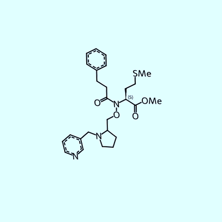 COC(=O)[C@H](CCSC)N(OCC1CCCN1Cc1cccnc1)C(=O)CCc1ccccc1